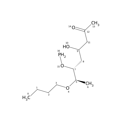 CCCCO[C@H](C)[C@@H](CC(O)CC(C)=O)OP